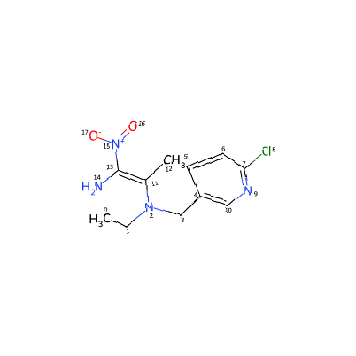 CCN(Cc1ccc(Cl)nc1)C(C)=C(N)[N+](=O)[O-]